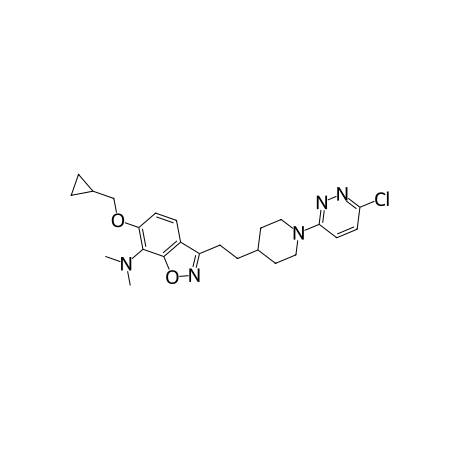 CN(C)c1c(OCC2CC2)ccc2c(CCC3CCN(c4ccc(Cl)nn4)CC3)noc12